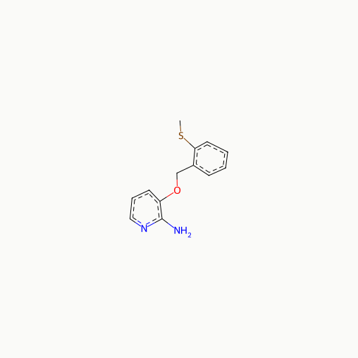 CSc1ccccc1COc1cccnc1N